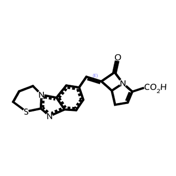 O=C(O)C1=CCC2/C(=C\c3ccc4nc5n(c4c3)CCCS5)C(=O)N12